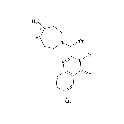 CCCC(c1nc2ccc(C(F)(F)F)cc2c(=O)n1CC)N1CCN[C@H](C)CC1